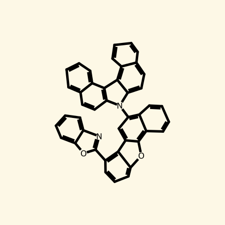 c1ccc2c(c1)ccc1c2c2c3ccccc3ccc2n1-c1cc2c(oc3cccc(-c4nc5ccccc5o4)c32)c2ccccc12